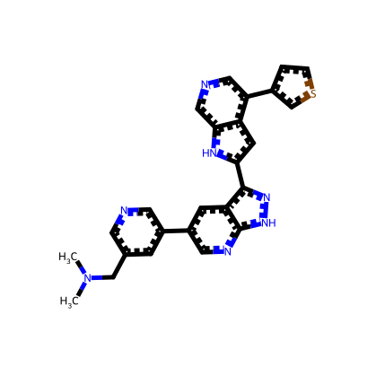 CN(C)Cc1cncc(-c2cnc3[nH]nc(-c4cc5c(-c6ccsc6)cncc5[nH]4)c3c2)c1